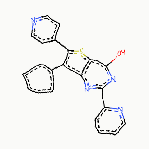 Oc1nc(-c2ccccn2)nc2c(-c3ccccc3)c(-c3ccncc3)sc12